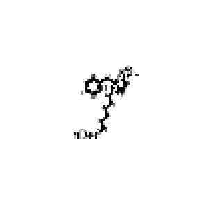 CCCCCCCCCCCCCCCCn1cc[n+](CCCC)c1Cc1ccccc1